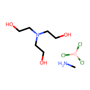 CN.ClB(Cl)Cl.OCCN(CCO)CCO